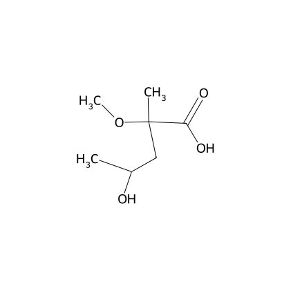 COC(C)(CC(C)O)C(=O)O